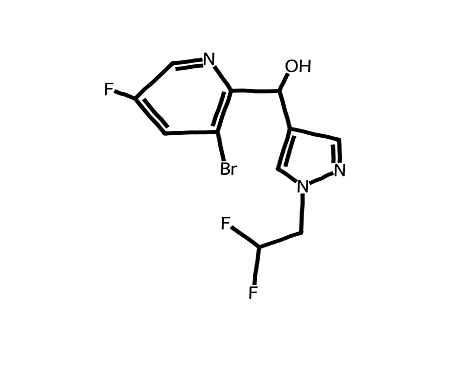 OC(c1cnn(CC(F)F)c1)c1ncc(F)cc1Br